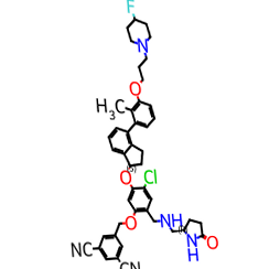 Cc1c(OCCCN2CCC(F)CC2)cccc1-c1cccc2c1CC[C@@H]2Oc1cc(OCc2cc(C#N)cc(C#N)c2)c(CNC[C@H]2CCC(=O)N2)cc1Cl